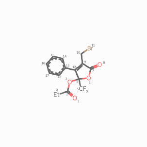 CCC(=O)OC1(C(F)(F)F)OC(=O)C(CBr)=C1c1ccccc1